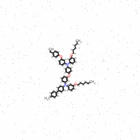 C=Cc1ccc(Oc2cccc(N(c3ccc(Oc4cccc(N(c5ccc(-c6ccc(C)cc6)cc5)c5cccc(OCCCCCC)c5)c4)cc3)c3cccc(OCCCCCC)c3)c2)cc1